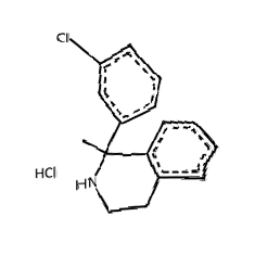 CC1(c2cccc(Cl)c2)NCCc2ccccc21.Cl